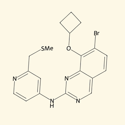 CSCc1cc(Nc2ncc3ccc(Br)c(OC4CCC4)c3n2)ccn1